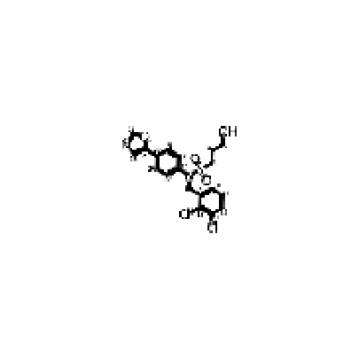 O=S(=O)(CCCO)N(Cc1cccc(Cl)c1Cl)c1ccc(-c2cnco2)cc1